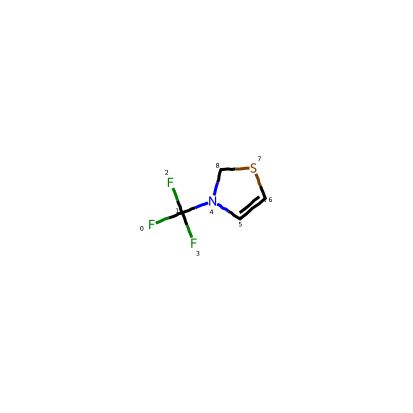 FC(F)(F)N1C=[C]SC1